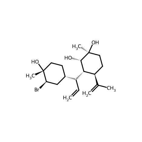 C=CC([C@H]1CC[C@@](C)(O)[C@H](Br)C1)[C@H]1[C@H](C(=C)C)CC[C@](C)(O)[C@H]1O